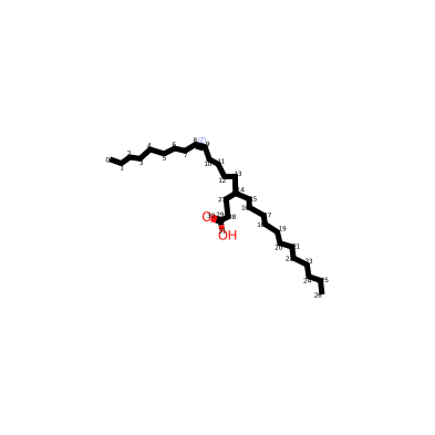 CCCCCCCC/C=C\CCCCC(CCCCCCCCCCCC)CCC(=O)O